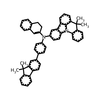 CC1(C)c2ccccc2-c2ccc(-c3ccc(N(C4=Cc5ccccc5CC4)c4ccc5c(c4)c4cccc6c4n5-c4ccccc4C6(C)C)cc3)cc21